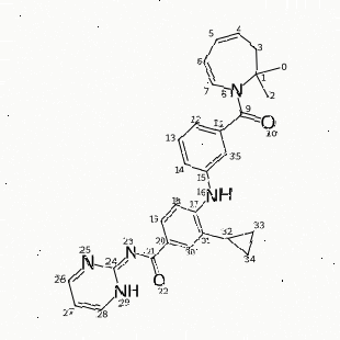 CC1(C)CC=CC=CN1C(=O)c1cccc(Nc2ccc(C(=O)N=c3nccc[nH]3)cc2C2CC2)c1